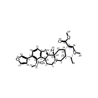 CC[C@@H]1CN2CC[C@@]3(O)C(=Nc4ccc(-c5ccoc5)c(OC)c43)[C@@H]2C[C@@H]1/C(=C\OC)C(=O)OC